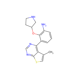 Cc1csc2ncnc(-c3cccc(N)c3OC3CCNC3)c12